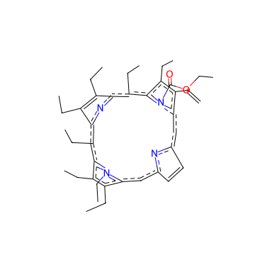 C=Cc1c(CC)c2c(CC)c3nc(c(CC)c4c(CC)c(CC)c(cc5nc(cc1n2C(=O)OCC)C=C5)n4CC)C(CC)=C3CC